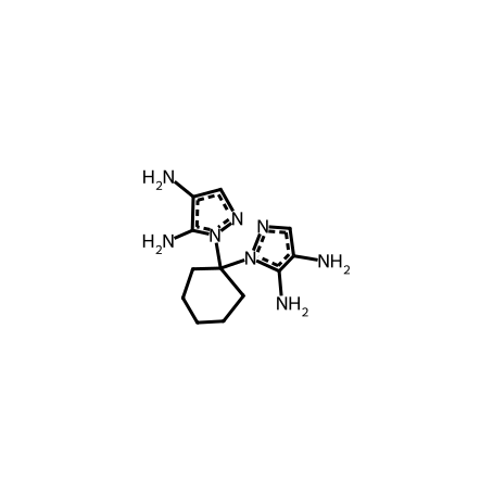 Nc1cnn(C2(n3ncc(N)c3N)CCCCC2)c1N